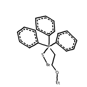 CCOCCP(SBr)(c1ccccc1)(c1ccccc1)c1ccccc1